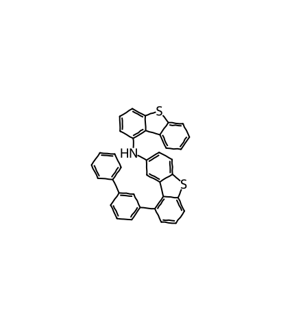 c1ccc(-c2cccc(-c3cccc4sc5ccc(Nc6cccc7sc8ccccc8c67)cc5c34)c2)cc1